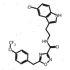 O=C(NCCc1c[nH]c2ccc(Cl)cc12)c1noc(Cc2ccc(OC(F)(F)F)cc2)n1